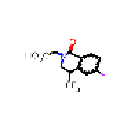 O=C(O)CN1CC(C(F)(F)F)c2cc(I)ccc2C1=O